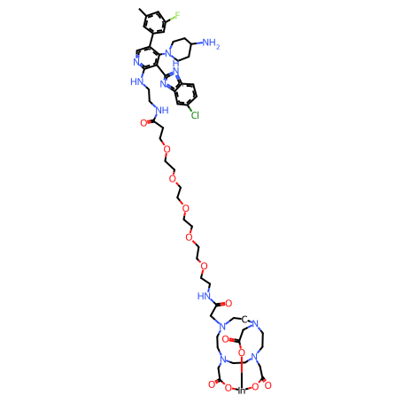 Cc1cc(F)cc(-c2cnc(NCCNC(=O)CCOCCOCCOCCOCCOCCNC(=O)CN3CCN4CCN5CCN(CC3)CC(=O)[O][In]([O]C(=O)C4)[O]C(=O)C5)c(-c3nc4cc(Cl)ccc4[nH]3)c2N2CCC(N)CC2)c1